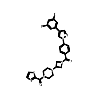 O=C(c1ccc(-n2cc(-c3cc(F)cc(F)c3)cn2)cc1)N1CC(N2CCN(C(=O)c3nccs3)CC2)C1